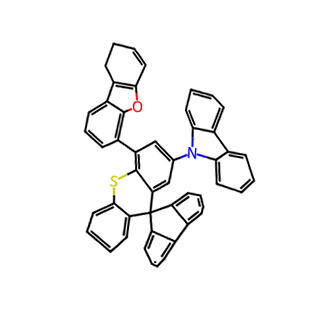 C1=Cc2oc3c(-c4cc(-n5c6ccccc6c6ccccc65)cc5c4Sc4ccccc4C54c5ccccc5-c5ccccc54)cccc3c2CC1